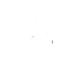 CC(=O)[C@@H]1CC[C@@H]2CCNC[C@H](NC(=O)OC(C)(C)C)CN21